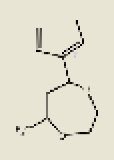 C=C/C(=C\C)C1CC(C(F)(F)F)OCCO1